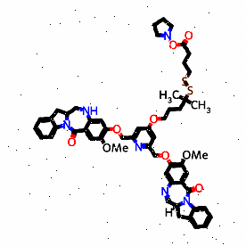 COc1cc2c(cc1OCc1cc(OCCCC(C)(C)SSCCCC(=O)ON3CCCC3)cc(COc3cc4c(cc3OC)C(=O)N3c5ccccc5CC3CN4)n1)N=C[C@@H]1Cc3ccccc3N1C2=O